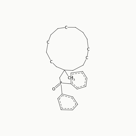 CC1(CP(=O)(c2ccccc2)c2ccccc2)CCCCCCCCCCCCCC1